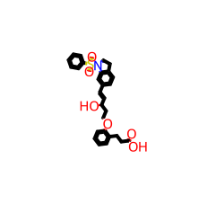 O=C(O)CCc1ccccc1OCC[C@@H](O)/C=C/c1ccc2c(c1)N(S(=O)(=O)c1ccccc1)CC2